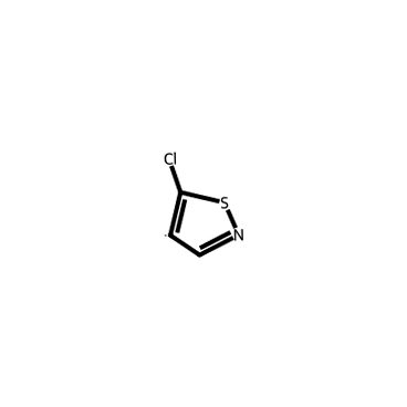 Clc1[c]cns1